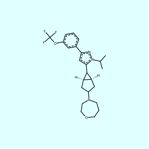 CC(C)n1nc(-c2cccc(OC(F)(F)F)c2)cc1C1[C@H]2CC(N3CCCOCC3)C[C@@H]12